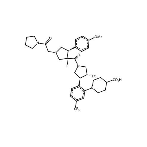 CC[C@H]1CN(C(=O)[C@]2(F)CN(CC(=O)N3CCCC3)C[C@H]2c2ccc(OC)cc2)C[C@@H]1c1ccc(C(F)(F)F)cc1N1CCC(C(=O)O)CC1